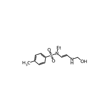 CCN(/C=C/NCO)S(=O)(=O)c1ccc(C)cc1